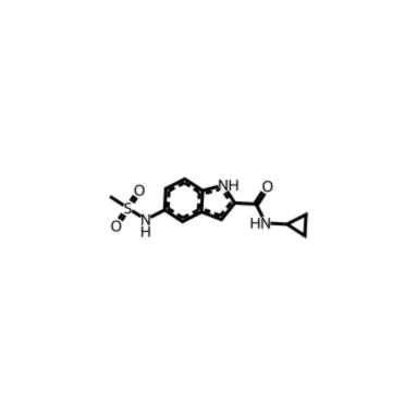 CS(=O)(=O)Nc1ccc2[nH]c(C(=O)NC3CC3)cc2c1